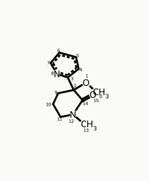 COC1(c2ccccn2)CCCN(C)C1=O